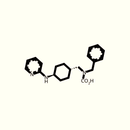 O=C(O)N(Cc1ccccc1)C[C@H]1CC[C@H](Nc2ccccn2)CC1